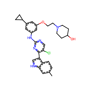 Cc1ccc2c(-c3nc(Nc4cc(OCCN5CCC(O)CC5)cc(C5CC5)c4)ncc3Cl)c[nH]c2c1